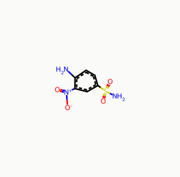 Nc1ccc(S(N)(=O)=O)cc1[N+](=O)[O-]